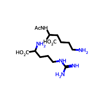 CC(=O)NC(CCCCN)C(=O)O.N=C(N)NCCCC(N)C(=O)O